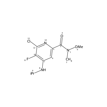 CON(C)C(=O)c1cc(NC(C)C)c(F)c(Cl)n1